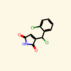 O=C1C=C(C(Cl)c2ccccc2Cl)C(=O)N1